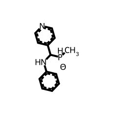 C[PH](=O)C(Nc1ccccc1)c1ccncc1